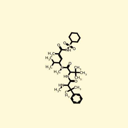 CNC(C(=O)NC(C(=O)N(C)C(C=C(C)C(=O)NS(=O)(=O)C1CCCCC1)C(C)C)C(C)(C)C)C(C)(C)c1ccccc1